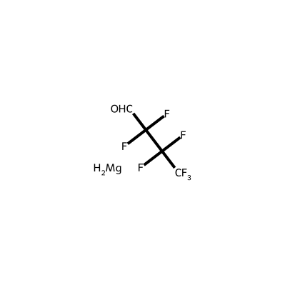 O=CC(F)(F)C(F)(F)C(F)(F)F.[MgH2]